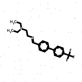 CCN(CC)CC/N=C/c1ccc(-c2ccc(C(F)(F)F)cc2)cc1